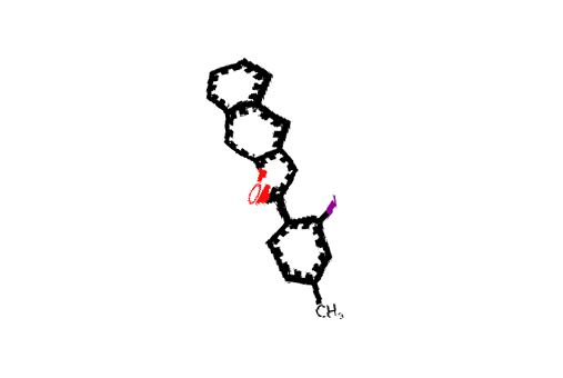 Cc1ccc(-c2cc3cc4ccccc4cc3o2)c(I)c1